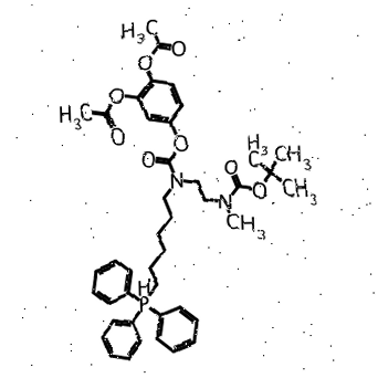 CC(=O)Oc1ccc(OC(=O)N(CCCCCC[PH](c2ccccc2)(c2ccccc2)c2ccccc2)CCN(C)C(=O)OC(C)(C)C)cc1OC(C)=O